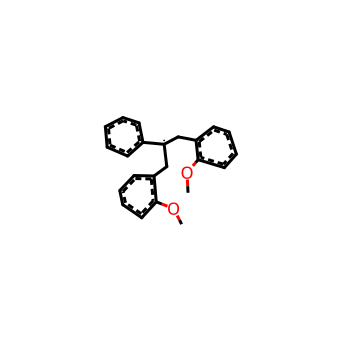 COc1ccccc1C[C](Cc1ccccc1OC)c1ccccc1